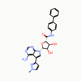 Cn1ccc(-c2cn([C@@H]3O[C@H](C(=O)Nc4ccc(-c5ccccc5)cc4)[C@@H](O)[C@H]3O)c3ncnc(N)c23)n1